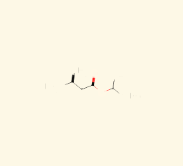 C=C(CC(=O)OC(C)CCCCCC)C(=O)O